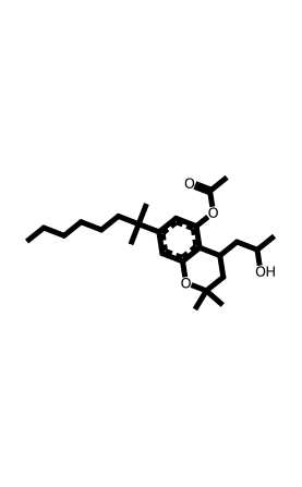 CCCCCCC(C)(C)c1cc(OC(C)=O)c2c(c1)OC(C)(C)CC2CC(C)O